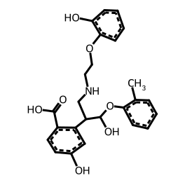 Cc1ccccc1OC(O)C(CNCCOc1ccccc1O)c1cc(O)ccc1C(=O)O